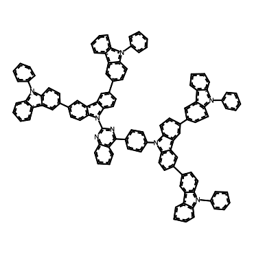 c1ccc(-n2c3ccccc3c3cc(-c4ccc5c(c4)c4cc(-c6ccc7c(c6)c6ccccc6n7-c6ccccc6)ccc4n5-c4ccc(-c5nc(-n6c7ccc(-c8ccc9c(c8)c8ccccc8n9-c8ccccc8)cc7c7cc(-c8ccc9c(c8)c8ccccc8n9-c8ccccc8)ccc76)nc6ccccc56)cc4)ccc32)cc1